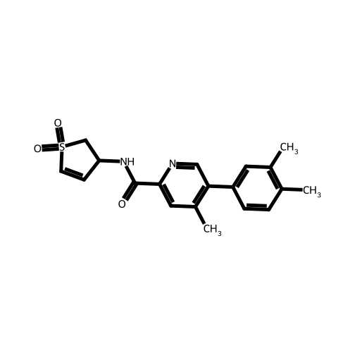 Cc1ccc(-c2cnc(C(=O)NC3C=CS(=O)(=O)C3)cc2C)cc1C